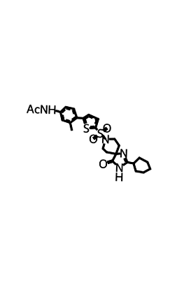 CC(=O)Nc1ccc(-c2ccc(S(=O)(=O)N3CCC4(CC3)N=C(C3CCCCC3)NC4=O)s2)c(C)c1